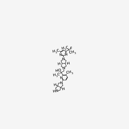 Cc1cc(C(C)(C)F)nc(N2C[C@H]3CN(CC(C)(O)c4nc(N5C[C@H]6CNC[C@H]6C5)ccc4C)C[C@H]3C2)n1